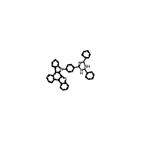 c1ccc(C2N=C(c3ccc(-n4c5ccccc5c5c6ccccc6c6c7ccccc7sc6c54)cc3)NC(c3ccccc3)N2)cc1